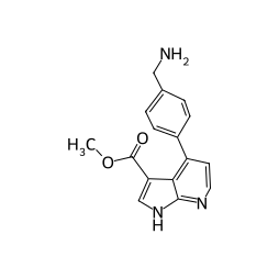 COC(=O)c1c[nH]c2nccc(-c3ccc(CN)cc3)c12